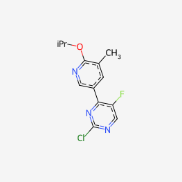 Cc1cc(-c2nc(Cl)ncc2F)cnc1OC(C)C